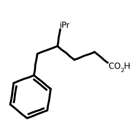 CC(C)C(CCC(=O)O)Cc1ccccc1